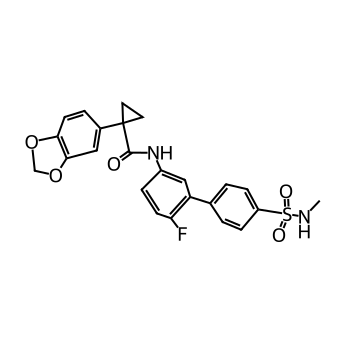 CNS(=O)(=O)c1ccc(-c2cc(NC(=O)C3(c4ccc5c(c4)OCO5)CC3)ccc2F)cc1